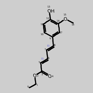 CCOC(=O)/C=C/C=C/c1ccc(O)c(OC)c1